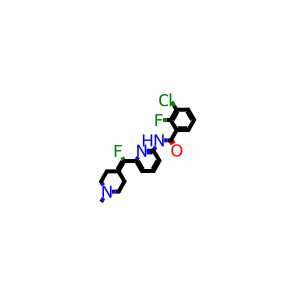 CN1CCC(=C(F)c2cccc(NC(=O)c3cccc(Cl)c3F)n2)CC1